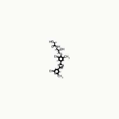 CCc1cc(-c2nc(-c3cc(C)c(OC[C@@H](O)CNC(=O)CO)c(CC)c3)no2)cc(C)n1